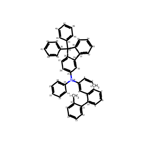 C/C=C\C(=C/c1ccccc1-c1ccccc1C)N(c1ccccc1)c1ccc2c(c1)-c1ccccc1C2(c1ccccc1)c1ccccc1